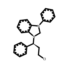 ClCC[C@@H](c1ccccc1)N1[CH]N(c2ccccc2)c2ccccc21